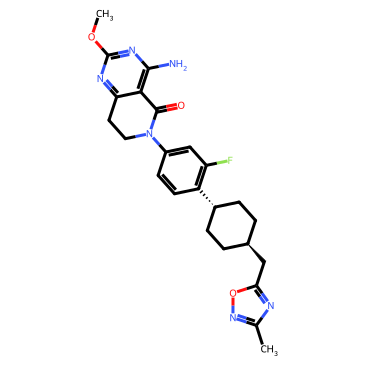 COc1nc(N)c2c(n1)CCN(c1ccc([C@H]3CC[C@H](Cc4nc(C)no4)CC3)c(F)c1)C2=O